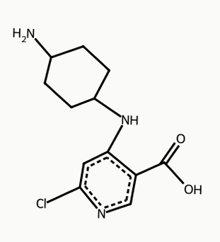 NC1CCC(Nc2cc(Cl)ncc2C(=O)O)CC1